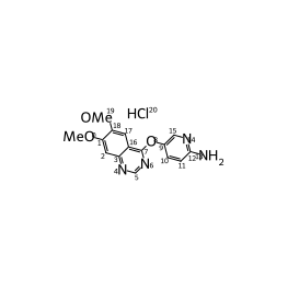 COc1cc2ncnc(Oc3ccc(N)nc3)c2cc1OC.Cl